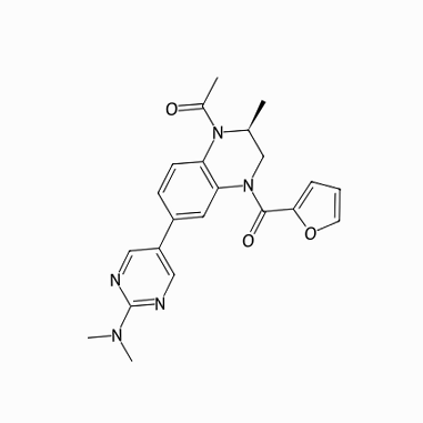 CC(=O)N1c2ccc(-c3cnc(N(C)C)nc3)cc2N(C(=O)c2ccco2)C[C@@H]1C